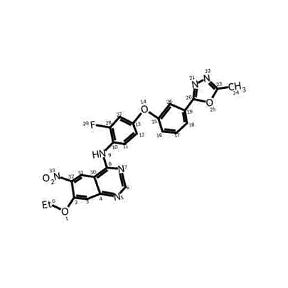 CCOc1cc2ncnc(Nc3ccc(Oc4cccc(-c5nnc(C)o5)c4)cc3F)c2cc1[N+](=O)[O-]